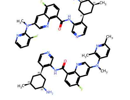 C[C@@H]1C[C@H](N)C[C@H](c2ccncc2NC(=O)c2ccc(F)c3cc(N(C)c4ncccc4F)cnc23)C1.Cc1ccc(N(C)c2cnc3c(C(=O)Nc4cnccc4[C@@H]4C[C@H](C)C[C@H](N)C4)ccc(F)c3c2)c(C)n1